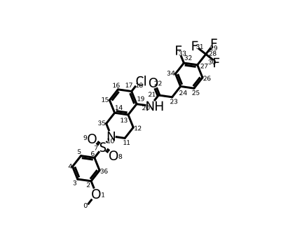 COc1cccc(S(=O)(=O)N2CCc3c(ccc(Cl)c3NC(=O)Cc3ccc(C(F)(F)F)c(F)c3)C2)c1